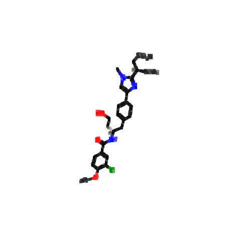 CCCOc1ccc(C(=O)N[C@H](CCO)Cc2ccc(-c3cn(C)c([C@@H](CC(=O)O)NC(C)=O)n3)cc2)cc1Cl